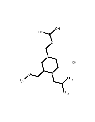 COCC1CN(COB(O)O)CCN1CC(C)C.[KH]